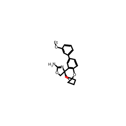 CCOc1cccc(-c2ccc3c(c2)C2(COC(N)=N2)C2(CCCC2)C2(CCC2)O3)c1